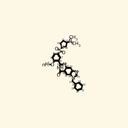 CCCOc1ccc(S(=O)(=O)N2CCC(N(C)C)C2)cc1-c1nc2cc3ncn(Cc4ccccc4)c3cc2c(=O)[nH]1